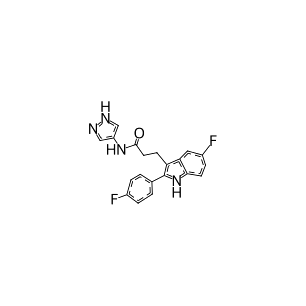 O=C(CCc1c(-c2ccc(F)cc2)[nH]c2ccc(F)cc12)Nc1cn[nH]c1